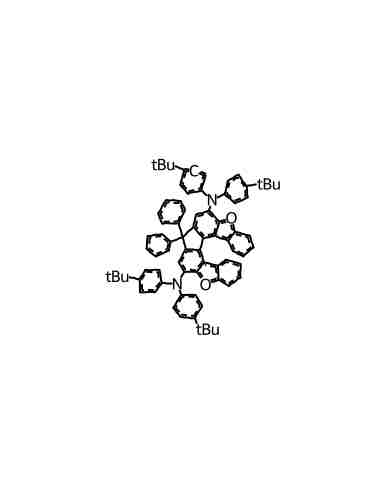 CC(C)(C)c1ccc(N(c2ccc(C(C)(C)C)cc2)c2cc3c(c4c2oc2ccccc24)-c2c(cc(N(c4ccc(C(C)(C)C)cc4)c4ccc(C(C)(C)C)cc4)c4oc5ccccc5c24)C3(c2ccccc2)c2ccccc2)cc1